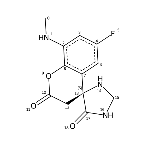 CNc1cc(F)cc2c1OC(=O)C[C@]21NCNC1=O